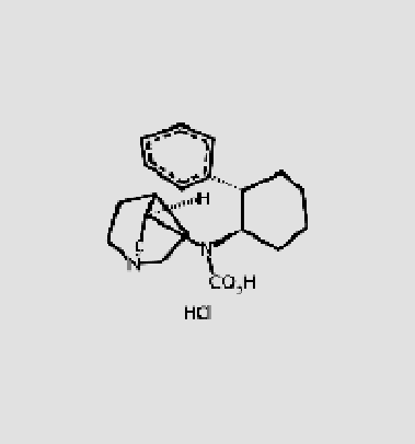 Cl.O=C(O)N([C@@H]1CCCC[C@H]1c1ccccc1)[C@H]1CN2CCC1CC2